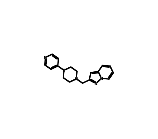 c1ccn2nc(CN3CCN(c4ccncc4)CC3)cc2c1